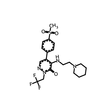 CS(=O)(=O)c1ccc(-c2cnn(CC(F)(F)F)c(=O)c2NCCN2CCCCC2)cc1